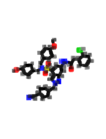 COc1ccc(CN(Cc2ccc(OC)cc2)S(=O)(=O)c2cc(NC(=O)Cc3ccccc3Cl)cc3nn(Cc4ccc(C#N)cc4)cc23)cc1